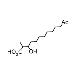 CC(=O)CCCCCCCCC(O)C(C)C(=O)O